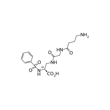 NCCCC(=O)NCC(=O)NC[C@H](NS(=O)(=O)c1ccccc1)C(=O)O